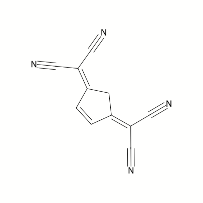 N#CC(C#N)=C1C=CC(=C(C#N)C#N)C1